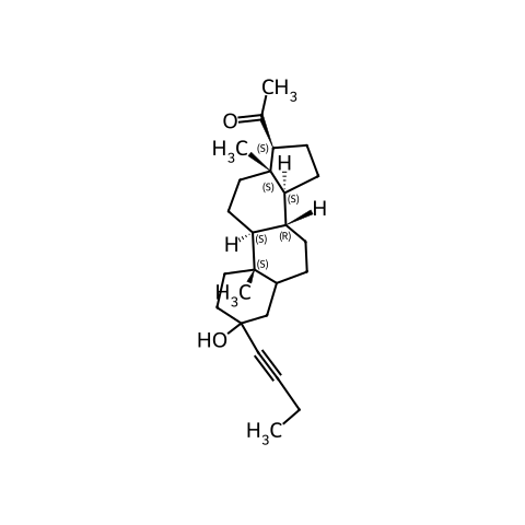 CCC#CC1(O)CC[C@@]2(C)C(CC[C@H]3[C@@H]4CC[C@H](C(C)=O)[C@@]4(C)CC[C@@H]32)C1